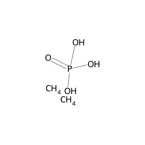 C.C.O=P(O)(O)O